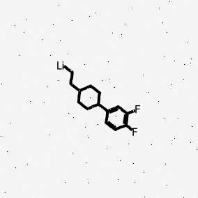 [Li][CH2]CC1CCC(c2ccc(F)c(F)c2)CC1